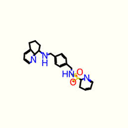 O=S(=O)(NCc1ccc(CNC2CCCc3cccnc32)cc1)C1CC=CC=N1